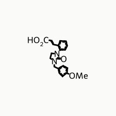 COc1ccc(CN2CCN(c3ccccc3C=CC(=O)O)C2=O)cc1